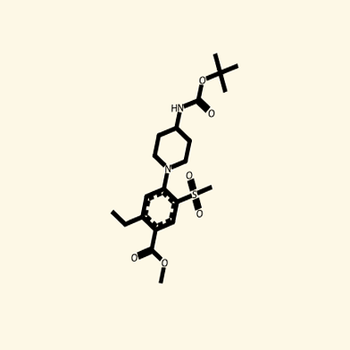 CCc1cc(N2CCC(NC(=O)OC(C)(C)C)CC2)c(S(C)(=O)=O)cc1C(=O)OC